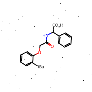 CC(C)(C)c1ccccc1OCC(=O)NC(C(=O)O)c1ccccc1